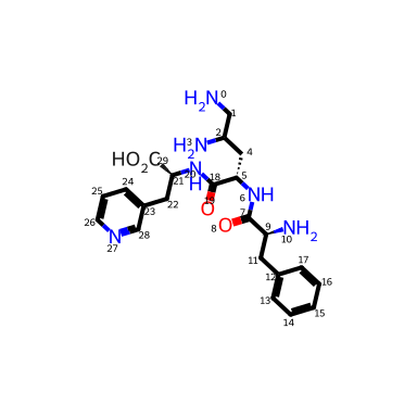 NCC(N)C[C@H](NC(=O)[C@@H](N)Cc1ccccc1)C(=O)N[C@@H](Cc1cccnc1)C(=O)O